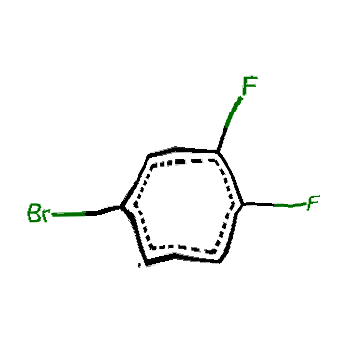 Fc1c[c]c(Br)cc1F